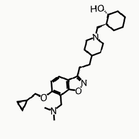 CN(C)Cc1c(OCC2CC2)ccc2c(CCC3CCN(C[C@@H]4CCCC[C@H]4O)CC3)noc12